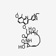 CCn1cc(-c2cc(OCCC3NC(=O)N(C)CCCC/C=C\C4CC4(C(=O)O)NC3=O)c3ccc(OC)c(C)c3n2)cn1